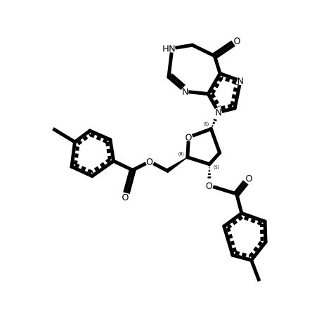 Cc1ccc(C(=O)OC[C@H]2O[C@H](n3cnc4c3N=CNCC4=O)C[C@@H]2OC(=O)c2ccc(C)cc2)cc1